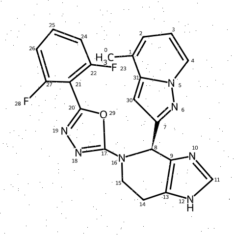 Cc1cccn2nc([C@H]3c4nc[nH]c4CCN3c3nnc(-c4c(F)cccc4F)o3)cc12